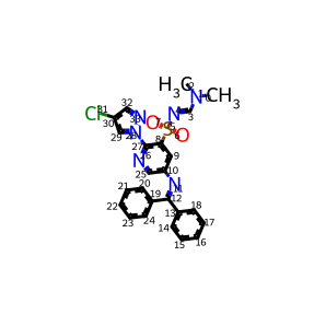 CN(C)C=NS(=O)(=O)c1cc(N=C(c2ccccc2)c2ccccc2)cnc1-n1cc(Cl)cn1